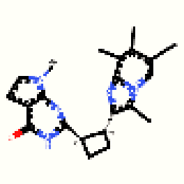 [2H]n1ccc2c(=O)[nH]c([C@@H]3CC[C@H]3c3nc4c(C)c(C)c(C)cn4c3C)nc21